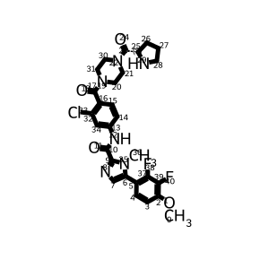 COc1ccc(-c2cnc(C(=O)Nc3ccc(C(=O)N4CCN(C(=O)[C@@H]5CCCN5)CC4)c(Cl)c3)n2C)c(F)c1F